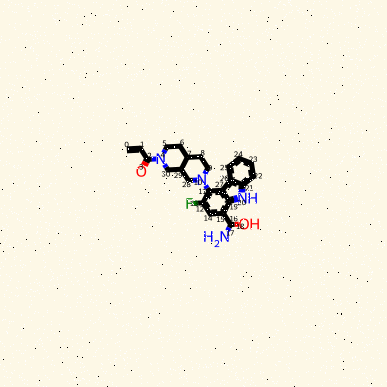 C=CC(=O)N1CCC2CCN(c3c(F)cc(C(N)O)c4[nH]c5ccccc5c34)CC2C1